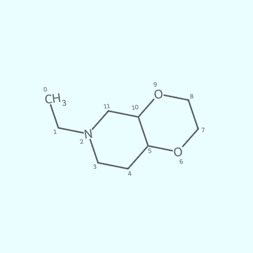 CCN1CCC2OCCOC2C1